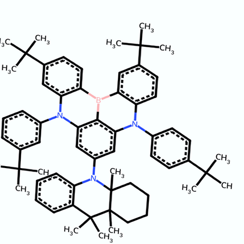 CC(C)(C)c1ccc(N2c3ccc(C(C)(C)C)cc3B3c4ccc(C(C)(C)C)cc4N(c4cccc(C(C)(C)C)c4)c4cc(N5c6ccccc6C(C)(C)C6(C)CCCCC56C)cc2c43)cc1